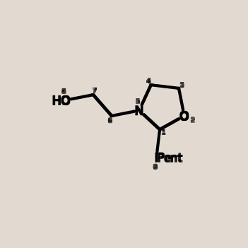 CCCC(C)C1OCCN1CCO